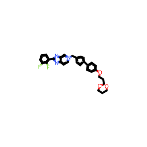 Fc1cccc(-c2nc3ccn(Cc4ccc(-c5ccc(OCCC6OCCCO6)cc5)cc4)cc-3n2)c1F